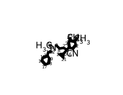 Cc1ccc(C(C#N)(CCCN(C)CCc2ccccc2)C2CC2)cc1C